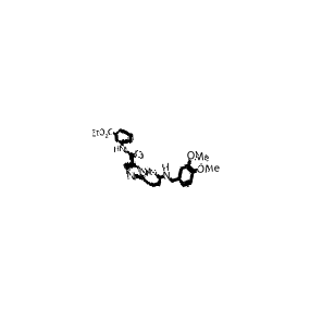 CCOC(=O)c1cccc(NC(=O)c2cnc3ccc(NCc4ccc(OC)c(OC)c4)nn23)c1